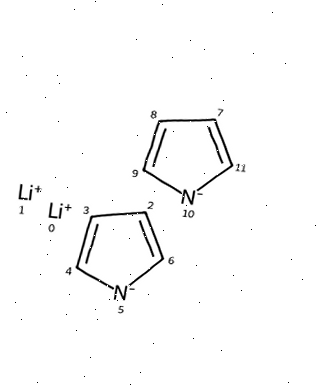 [Li+].[Li+].c1cc[n-]c1.c1cc[n-]c1